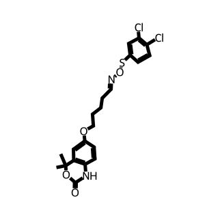 CC1(C)OC(=O)Nc2ccc(OCCCCC=NOSc3ccc(Cl)c(Cl)c3)cc21